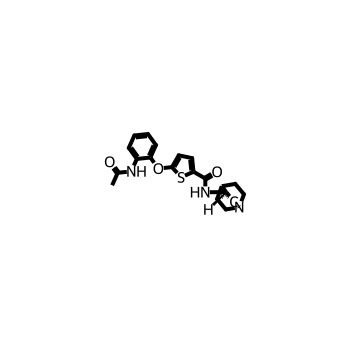 CC(=O)Nc1ccccc1Oc1ccc(C(=O)N[C@H]2CN3CCC2CC3)s1